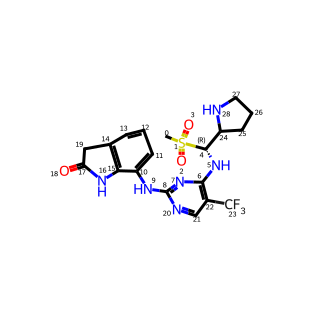 CS(=O)(=O)[C@@H](Nc1nc(Nc2cccc3c2NC(=O)C3)ncc1C(F)(F)F)C1CCCN1